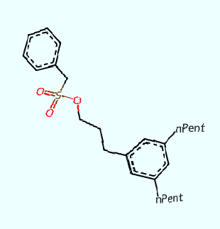 CCCCCc1cc(CCCCC)cc(CCCOS(=O)(=O)Cc2ccccc2)c1